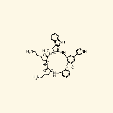 CN1C(=O)[C@H](CCCCN)NC(=O)[C@H](CCCN)NCc2cccnc2Sc2c(Cl)cc(-c3cc[nH]c3)cc2CNC(=O)[C@@H]1Cc1c[nH]c2ccccc12